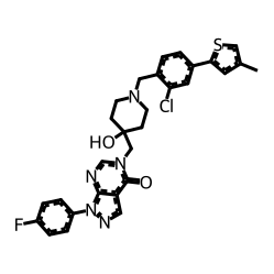 Cc1csc(-c2ccc(CN3CCC(O)(Cn4cnc5c(cnn5-c5ccc(F)cc5)c4=O)CC3)c(Cl)c2)c1